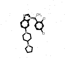 C[C@H](c1ccc(Cl)cc1Cl)n1cnc2ccc(N3CCC(N4CCCC4)CC3)cc21